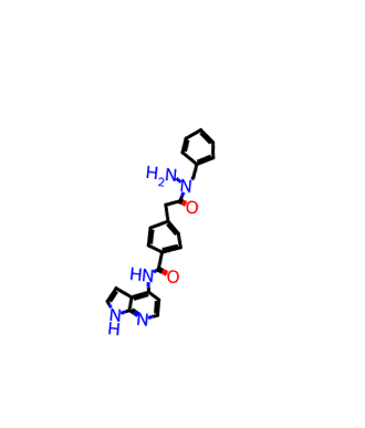 NN(Cc1ccccc1)C(=O)Cc1ccc(C(=O)Nc2ccnc3[nH]ccc23)cc1